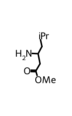 COC(=O)CC(N)CC(C)C